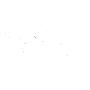 Cc1nc(C(=O)NCC(C)(C)O)sc1-c1cnc(NC(C)(C)C)cc1C(F)F